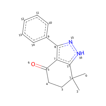 CC1(C)CCC(=O)c2c(-c3ccccc3)n[nH]c21